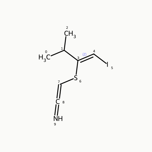 CC(C)/C(=C/I)SC=C=N